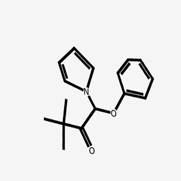 CC(C)(C)C(=O)C(Oc1ccccc1)n1cccc1